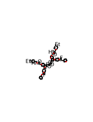 CCN1CCC(CNC(=O)Cc2ccc3c(OC(=O)C(=O)Oc4cn(C5CCN(C(F)Cc6ccccc6)CC5)c5cc(CC(=O)NCC6CCN(CC)CC6)ccc45)cn(C4CCN(C(F)Cc5ccccc5)CC4)c3c2)CC1